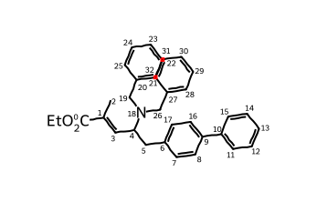 CCOC(=O)C(C)=CC(Cc1ccc(-c2ccccc2)cc1)N(Cc1ccccc1)Cc1ccccc1